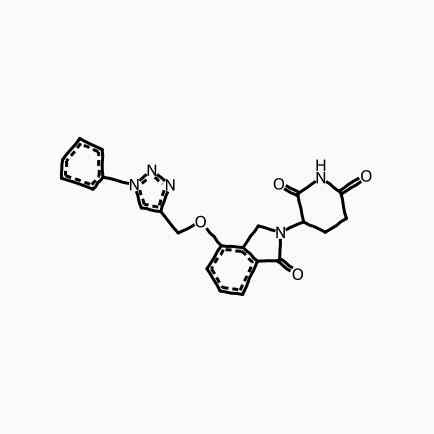 O=C1CCC(N2Cc3c(OCc4cn(-c5ccccc5)nn4)cccc3C2=O)C(=O)N1